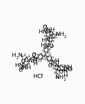 Cl.NCCCC[C@@H](NC(=O)CC1NC(=O)NC1=O)C(=O)Nc1ccc(C(c2ccc(NC(=O)[C@@H](CCCCN)NC(=O)CC3NC(=O)NC3=O)cc2)c2ccc(NC(=O)[C@@H](CCCCN)NC(=O)CC3NC(=O)NC3=O)cc2)cc1